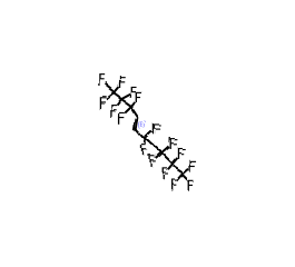 FC(F)(F)C(F)(F)C(F)(F)/C=C/C(F)(F)C(F)(F)C(F)(F)C(F)(F)F